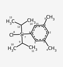 Cc1cc(C)cc([Si](Cl)(C(C)C)C(C)C)c1